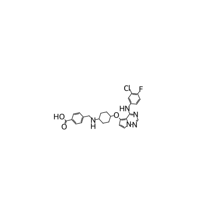 O=C(O)c1ccc(CNC2CCC(Oc3ccn4ncnc(Nc5ccc(F)c(Cl)c5)c34)CC2)cc1